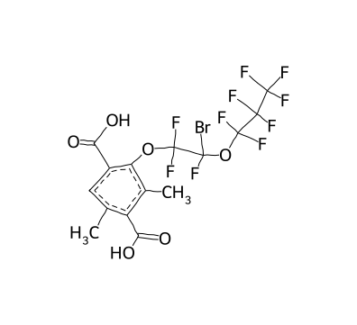 Cc1cc(C(=O)O)c(OC(F)(F)C(F)(Br)OC(F)(F)C(F)(F)C(F)(F)F)c(C)c1C(=O)O